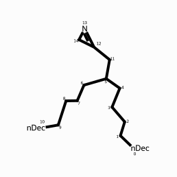 CCCCCCCCCCCCCCC(CCCCCCCCCCCCCC)CC1=NC1